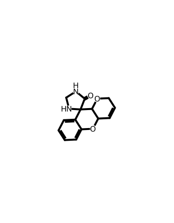 O=C1NCNC12c1ccccc1OC1C=CCOC12